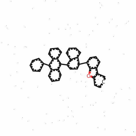 c1ccc(-c2c3ccccc3c(-c3ccc(-c4cccc5c4oc4ccccc45)c4ccccc34)c3ccccc23)cc1